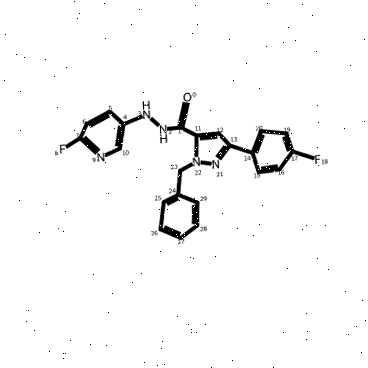 O=C(NNc1ccc(F)nc1)c1cc(-c2ccc(F)cc2)nn1Cc1ccccc1